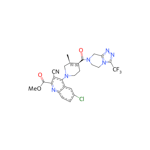 COC(=O)c1nc2ccc(Cl)cc2c(N2CC[C@H](C(=O)N3CCn4c(nnc4C(F)(F)F)C3)[C@H](C)C2)c1C#N